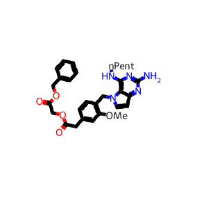 CCCCCNc1nc(N)nc2ccn(Cc3ccc(CC(=O)OCC(=O)OCc4ccccc4)cc3OC)c12